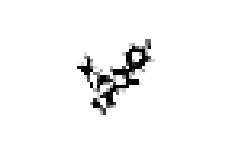 CC1CC(c2cscn2)N(C(=O)OC(C)(C)C)CC1c1ccc(Br)cc1